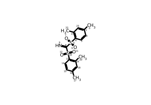 Cc1ccc(S(=O)(=O)C(=N)S(=O)(=O)c2ccc(C)cc2C)c(C)c1